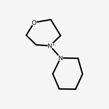 C1CCN([N+]2CCOCC2)CC1